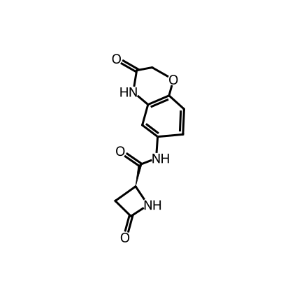 O=C1COc2ccc(NC(=O)[C@@H]3CC(=O)N3)cc2N1